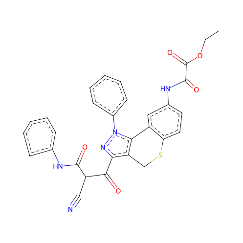 CCOC(=O)C(=O)Nc1ccc2c(c1)-c1c(c(C(=O)C(C#N)C(=O)Nc3ccccc3)nn1-c1ccccc1)CS2